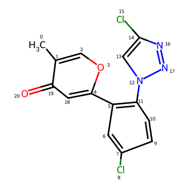 Cc1coc(-c2cc(Cl)ccc2-n2cc(Cl)nn2)cc1=O